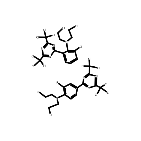 ClCCN(CCCl)c1c(Cl)cccc1-c1nc(C(Cl)(Cl)Cl)nc(C(Cl)(Cl)Cl)n1.Fc1cc(-c2nc(C(Cl)(Cl)Cl)nc(C(Cl)(Cl)Cl)n2)ccc1N(CCCl)CCCl